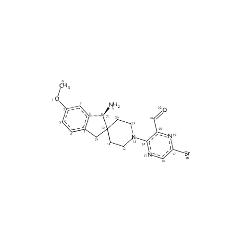 COc1ccc2c(c1)[C@@H](N)C1(CCN(c3ncc(Br)nc3C=O)CC1)C2